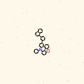 c1ccc(N(c2ccc(-c3cccc(-c4cccc5ccccc45)c3)cc2)c2cccc3oc4ccccc4c23)cc1